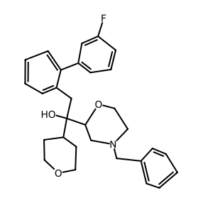 OC(Cc1ccccc1-c1cccc(F)c1)(C1CCOCC1)C1CN(Cc2ccccc2)CCO1